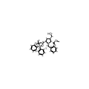 COC(=O)[C@H]1[C@H](CO)C[C@H](CO[Si](c2ccccc2)(c2ccccc2)C(C)(C)C)N1[C@@H](C)c1ccccc1